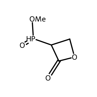 CO[PH](=O)C1COC1=O